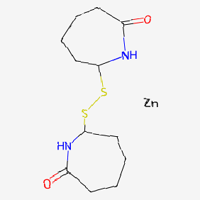 O=C1CCCCC(SSC2CCCCC(=O)N2)N1.[Zn]